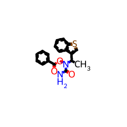 CC(c1csc2ccccc12)N(OC(=O)c1ccccc1)C(N)=O